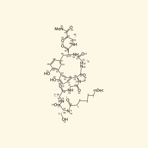 CCCCCCCCCCCCCCCC(=O)N(C)[C@H](CO)C(=O)N[C@H](C)C(=O)NCC(=O)N(C)[C@@H]1C(=O)N[C@@H](C)C(=O)N[C@H](C(=O)N[C@@H](C)C(=O)C(=O)NC)Cc2ccc(O)c(c2)-c2cc1ccc2O